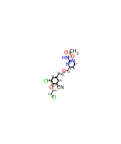 CS(=O)(=O)Nc1nccc(COCCc2cc(Cl)c(OCCCl)c(C#N)c2)n1